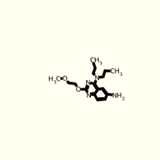 CCCN(CCC)c1nc(OCCOC)nc2ccc(N)cc12